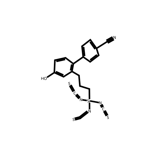 N#Cc1ccc(-c2ccc(O)cc2CCC[Si](N=C=S)(N=C=S)N=C=S)cc1